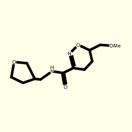 COCC1CCC(C(=O)NCC2CCOC2)=NO1